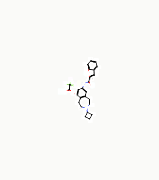 O=C(Nc1ccc2c(c1)CCN(C1CCC1)CC2)c1cc2ccccc2o1.O=C(O)C(F)(F)F